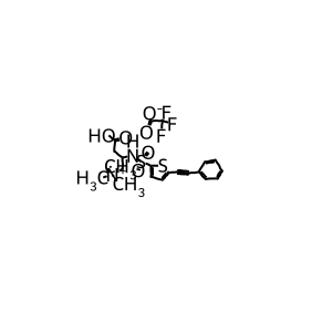 C[N+](C)(C)CC(CC(=O)O)NS(=O)(=O)c1ccc(C#Cc2ccccc2)s1.O=C([O-])C(F)(F)F